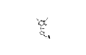 Cc1cc(C)c(C)c(C(C)(C)C2=CC([Si](C)(C)C)=CC2)c1